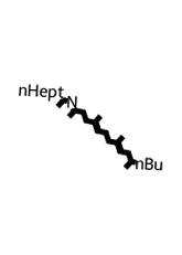 CCCCCCCC(C)/N=C(\C)CC/C(C)=C/CC/C(C)=C/CC(C)CCCC